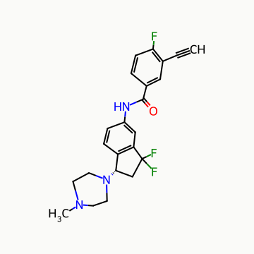 C#Cc1cc(C(=O)Nc2ccc3c(c2)C(F)(F)C[C@@H]3N2CCN(C)CC2)ccc1F